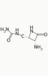 NC(=O)NC[C@@H]1NC(=O)[C@@H]1N